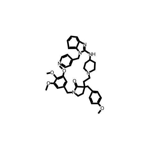 COc1ccc(CC2(CCN3CCC(Nc4nc5ccccc5n4Cc4ccncc4)CC3)CCN(Cc3cc(OC)c(OC)c(OC)c3)C2=O)cc1